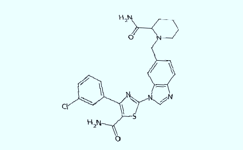 NC(=O)c1sc(-n2cnc3ccc(CN4CC[CH]CC4C(N)=O)cc32)nc1-c1cccc(Cl)c1